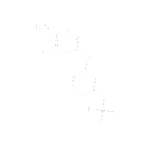 Nc1ccc(Oc2cccc(CC(F)(F)F)c2)cc1F